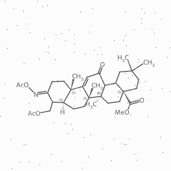 COC(=O)[C@]12CCC(C)(C)CC1C1C(=O)C=C3[C@@]4(C)CCC(=NOC(C)=O)C(COC(C)=O)[C@@H]4CC[C@@]3(C)[C@]1(C)CC2